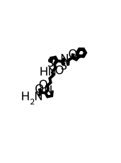 NC(=O)C1CCCN1C(=O)CCCNC(=O)c1sccc1-c1nc(-c2cc3ccccc3o2)cs1